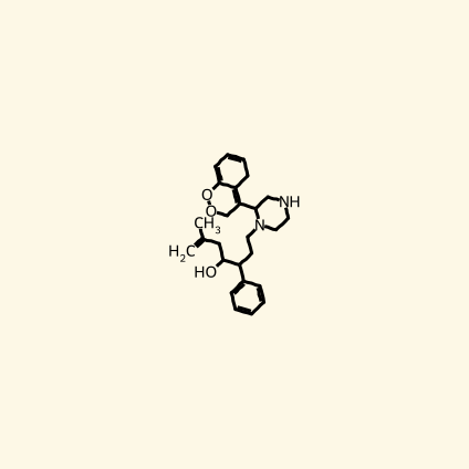 C=C(C)CC(O)C(CCN1CCNCC1C1=C2CC=CC=C2OOC1)c1ccccc1